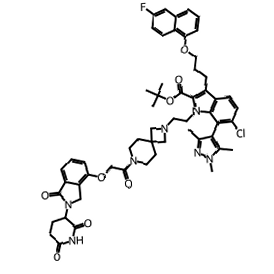 Cc1nn(C)c(C)c1-c1c(Cl)ccc2c(CCCOc3cccc4cc(F)ccc34)c(C(=O)OC(C)(C)C)n(CCN3CC4(CCN(C(=O)COc5cccc6c5CN(C5CCC(=O)NC5=O)C6=O)CC4)C3)c12